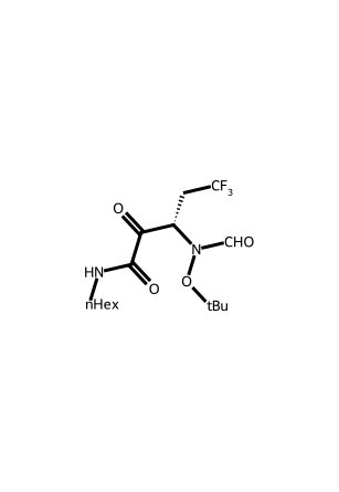 CCCCCCNC(=O)C(=O)[C@H](CC(F)(F)F)N(C=O)OC(C)(C)C